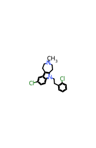 CN1CCc2c(n(CCc3ccccc3Cl)c3ccc(Cl)cc23)CC1